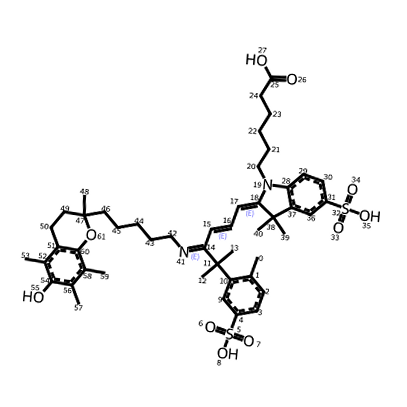 Cc1ccc(S(=O)(=O)O)cc1C(C)(C)C(/C=C/C=C1/N(CCCCCC(=O)O)c2ccc(S(=O)(=O)O)cc2C1(C)C)=N/CCCCCC1(C)CCc2c(C)c(O)c(C)c(C)c2O1